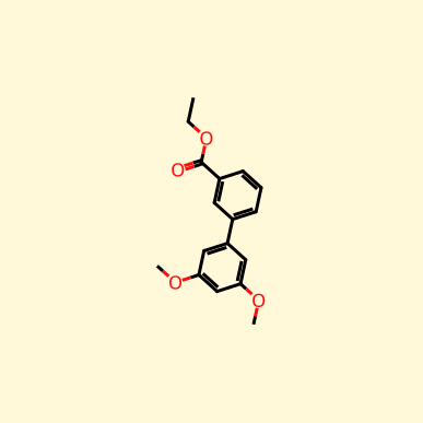 CCOC(=O)c1cccc(-c2cc(OC)cc(OC)c2)c1